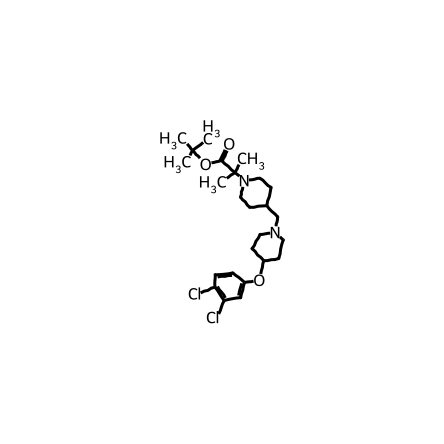 CC(C)(C)OC(=O)C(C)(C)N1CCC(CN2CCC(Oc3ccc(Cl)c(Cl)c3)CC2)CC1